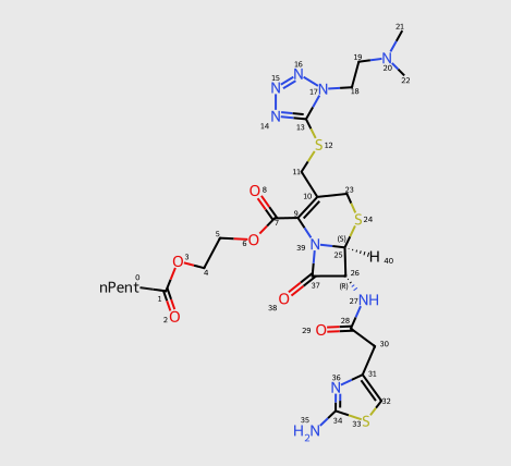 CCCCCC(=O)OCCOC(=O)C1=C(CSc2nnnn2CCN(C)C)CS[C@H]2[C@H](NC(=O)Cc3csc(N)n3)C(=O)N12